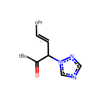 CCC/C=C/C(C(=O)C(C)(C)C)n1cncn1